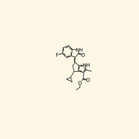 CCOC(=O)c1c(C)[nH]c2c1C(C1CC1)C/C2=C1/C(=O)Nc2ccc(F)cc21